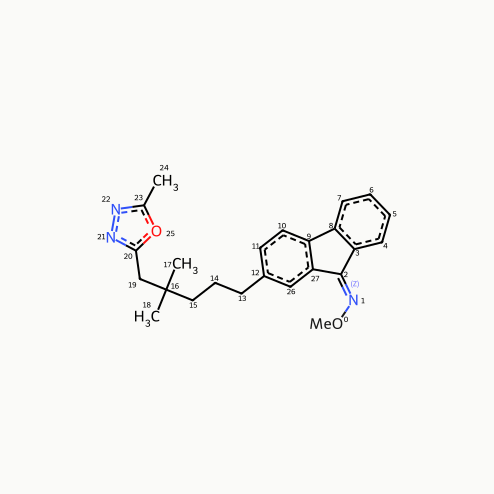 CO/N=C1/c2ccccc2-c2ccc(CCCC(C)(C)Cc3nnc(C)o3)cc21